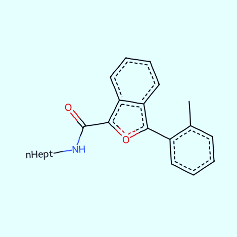 CCCCCCCNC(=O)c1oc(-c2ccccc2C)c2ccccc12